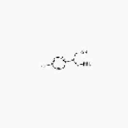 NCC(CS)c1ccc(Cl)cc1